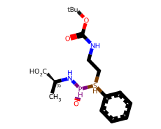 C[C@H](N[PH](=O)[SH](CCNC(=O)OC(C)(C)C)c1ccccc1)C(=O)O